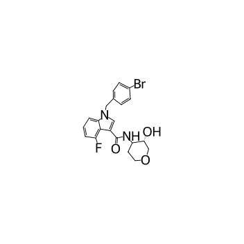 O=C(NC1CCOC[C@H]1O)c1cn(Cc2ccc(Br)cc2)c2cccc(F)c12